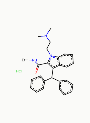 CCNC(=O)c1c(C(c2ccccc2)c2ccccc2)c2ccccc2n1CCN(C)C.Cl